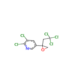 Clc1cc(C2(CC(Cl)(Cl)Cl)CO2)cnc1Cl